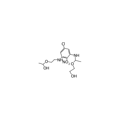 CC(O)OCCNc1cc(Cl)cc(NC(C)OCCO)c1[N+](=O)[O-]